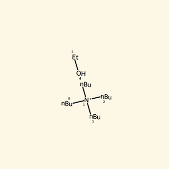 CCCC[N+](CCCC)(CCCC)CCCC.CCO